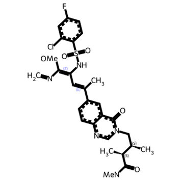 C=N/C(OC)=C(\C=C(/C)c1ccc2ncn(C[C@@H](C)[C@H](C)C(=O)NC)c(=O)c2c1)NS(=O)(=O)c1ccc(F)cc1Cl